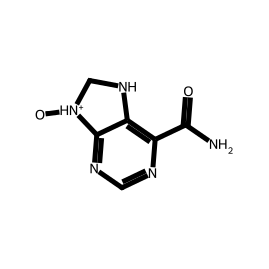 NC(=O)c1ncnc2c1NC[NH+]2[O-]